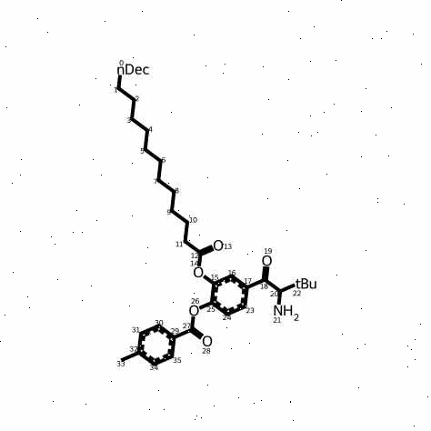 CCCCCCCCCCCCCCCCCCCCCC(=O)Oc1cc(C(=O)C(N)C(C)(C)C)ccc1OC(=O)c1ccc(C)cc1